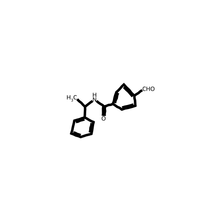 CC(NC(=O)c1ccc(C=O)cc1)c1ccccc1